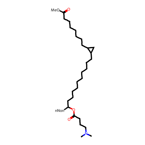 CCCCCCCCCC(CCCCCCCCCCC1CC1CCCCCCCC(=O)OC)OC(=O)CCCN(C)C